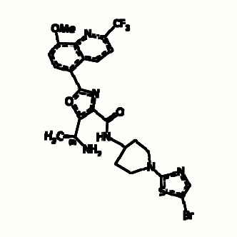 COc1ccc(-c2nc(C(=O)NC3CCN(c4ncc(Br)s4)CC3)c([C@H](C)N)o2)c2ccc(C(F)(F)F)nc12